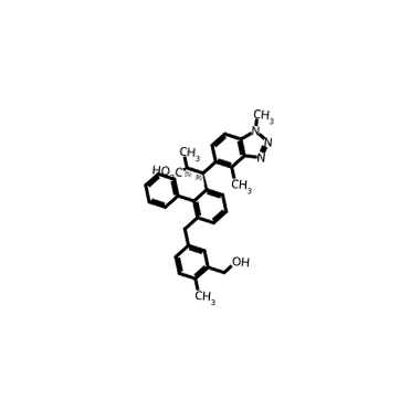 Cc1ccc(Cc2cccc([C@H](c3ccc4c(nnn4C)c3C)[C@H](C)C(=O)O)c2-c2ccccc2)cc1CO